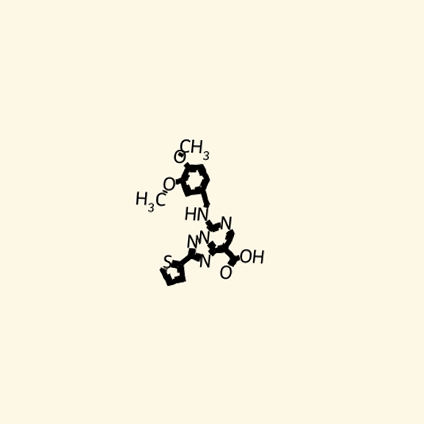 COc1ccc(CNc2ncc(C(=O)O)c3nc(-c4cccs4)nn23)cc1OC